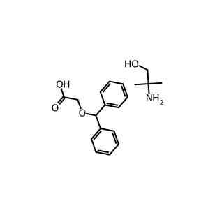 CC(C)(N)CO.O=C(O)COC(c1ccccc1)c1ccccc1